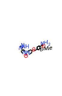 COc1cc(COC2CCN(C(=O)N3CC[C@H](c4ncn[nH]4)C3)CC2)ccc1C(N)=O